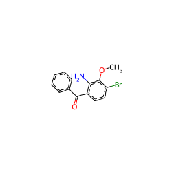 COc1c(Br)ccc(C(=O)c2ccccc2)c1N